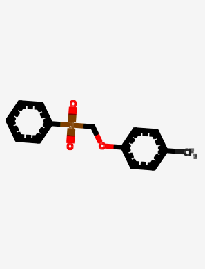 O=S(=O)(COc1ccc(C(F)(F)F)cc1)c1ccccc1